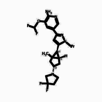 CC(C)n1nc(-c2cnc(N)c(OC(F)F)c2)cc1[C@H]1[C@@H]2C[C@H](N3CCC(F)(F)C3)CC21C